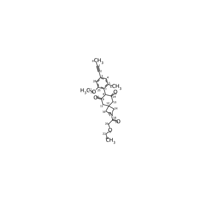 CC#Cc1cc(C)c(C2C(=O)CC3(CC2=O)CN(C(=O)COCC)C3)c(OC)c1